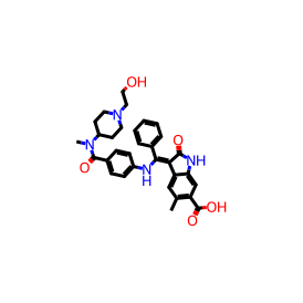 Cc1cc2c(cc1C(=O)O)NC(=O)C2=C(Nc1ccc(C(=O)N(C)C2CCN(CCO)CC2)cc1)c1ccccc1